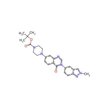 Cn1cc2cc(-n3cnc4cc(N5CCN(C(=O)OC(C)(C)C)CC5)ccc4c3=O)ccc2n1